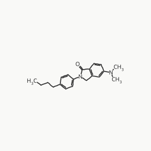 CCCCc1ccc(N2Cc3cc(N(C)C)ccc3C2=O)cc1